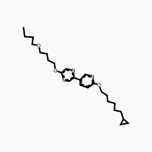 CCCCOCCCCOc1cnc(-c2ccc(OCCCCCCC3CC3)nc2)cn1